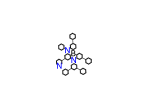 c1ccc(-c2cc(-c3ccccc3)cc(N3c4cc(-c5ccccc5)ccc4B4c5ccc(-c6ccccc6)cc5N(c5ccccc5)c5cc(-c6cccnc6)cc3c54)c2)cc1